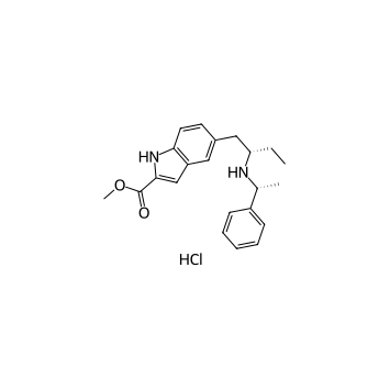 CC[C@@H](Cc1ccc2[nH]c(C(=O)OC)cc2c1)N[C@H](C)c1ccccc1.Cl